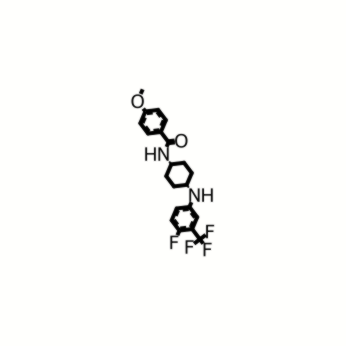 COc1ccc(C(=O)N[C@H]2CC[C@@H](Nc3ccc(F)c(C(F)(F)F)c3)CC2)cc1